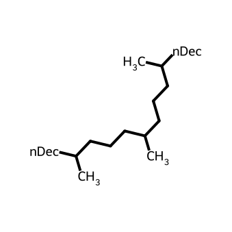 CCCCCCCCCCC(C)CCCC(C)CCCC(C)CCCCCCCCCC